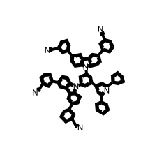 N#Cc1cccc(-c2ccc3c(c2)c2cc(-c4cccc(C#N)c4)ccc2n3-c2cc(-c3cc(-c4ccccc4)nc(-c4ccccc4)c3)cc(-n3c4ccc(-c5cccc(C#N)c5)cc4c4cc(-c5cccc(C#N)c5)ccc43)c2)c1